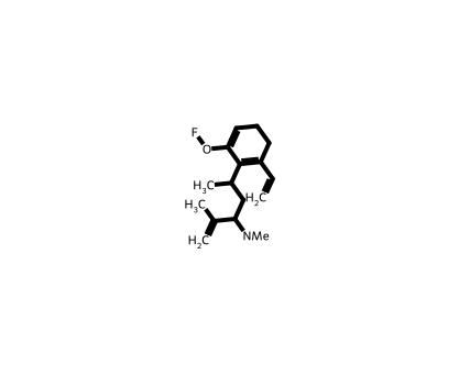 C=CC1=C(C(C)CC(NC)C(=C)C)C(OF)=CCC1